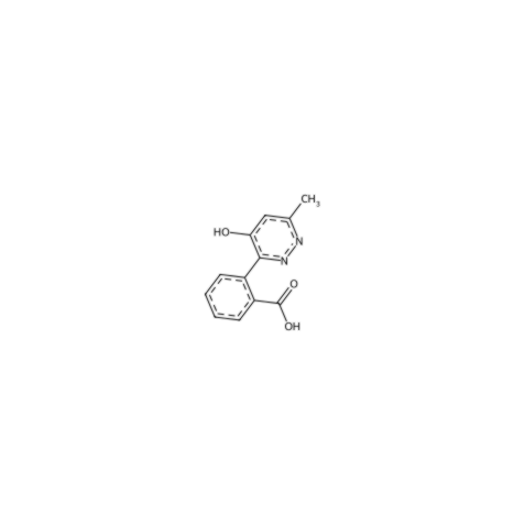 Cc1cc(O)c(-c2ccccc2C(=O)O)nn1